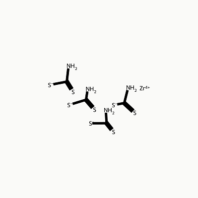 NC(=S)[S-].NC(=S)[S-].NC(=S)[S-].NC(=S)[S-].[Zr+4]